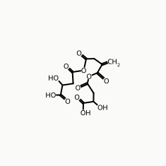 C=C(CC(=O)OC(=O)CC(O)C(=O)O)C(=O)OC(=O)CC(O)C(=O)O